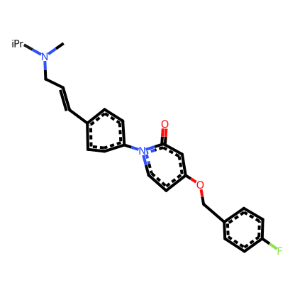 CC(C)N(C)C/C=C/c1ccc(-n2ccc(OCc3ccc(F)cc3)cc2=O)cc1